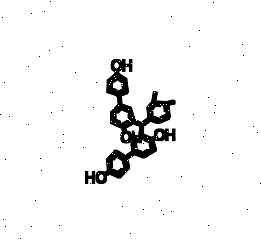 Cc1ccc(C(c2cc(-c3ccc(O)cc3)ccc2O)c2cc(-c3ccc(O)cc3)ccc2O)cc1C